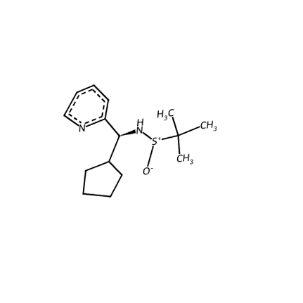 CC(C)(C)[S+]([O-])N[C@H](c1ccccn1)C1CCCC1